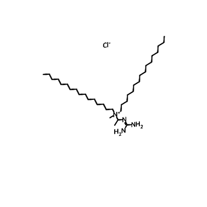 CCCCCCCCCCCCCCCC[N+](C)(CCCCCCCCCCCCCCCC)C(C)N=C(N)N.[Cl-]